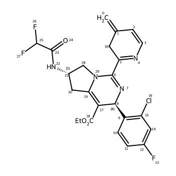 C=C1C=CN=C(C2=N[C@@H](c3ccc(F)cc3Cl)C(C(=O)OCC)=C3C[C@H](NC(=O)C(F)F)CN23)C1